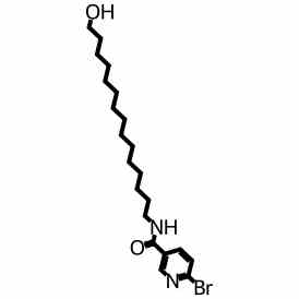 O=C(NCCCCCCCCCCCCCCCO)c1ccc(Br)nc1